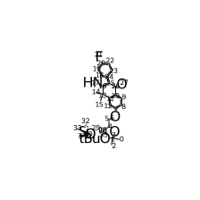 CC1(C)OC(COc2ccc3c(c2)C(C)(C)c2[nH]c4cc(F)ccc4c2C3=O)[C@@H](CO[Si](C)(C)C(C)(C)C)O1